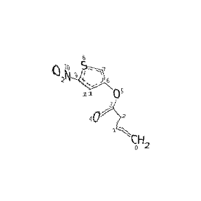 C=CCC(=O)Oc1csc([N+](=O)[O-])c1